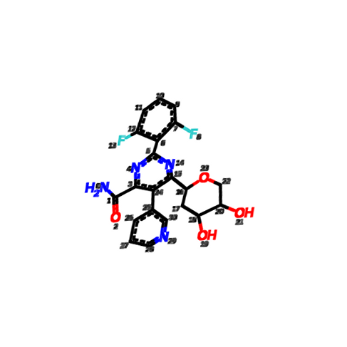 NC(=O)c1nc(-c2c(F)cccc2F)nc(C2CC(O)C(O)CO2)c1-c1cccnc1